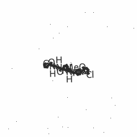 COc1ccc(Cl)cc1N1CCN(CCNc2nccc(C(=O)NCCNC(=O)c3ccco3)n2)CC1